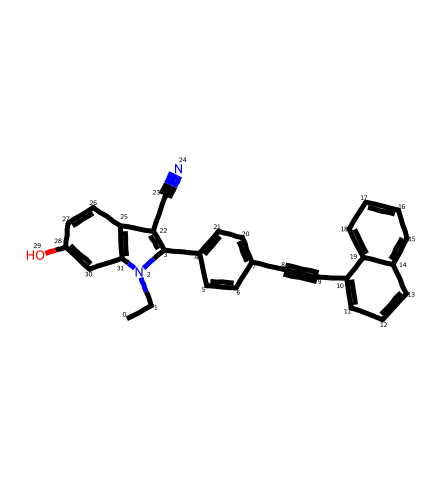 CCn1c(-c2ccc(C#Cc3cccc4ccccc34)cc2)c(C#N)c2ccc(O)cc21